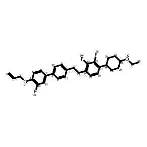 C=CCOc1ccc(-c2ccc(CCc3ccc(C4CCC(OCC)CC4)c(F)c3F)cc2)cc1F